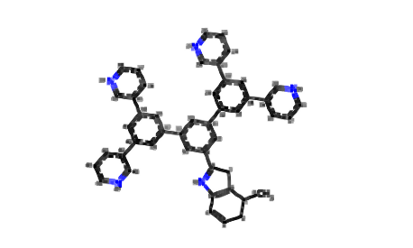 CC1CC=CC2=C1CC(c1cc(-c3cc(-c4cccnc4)cc(-c4cccnc4)c3)cc(-c3cc(-c4cccnc4)cc(-c4cccnc4)c3)c1)=N2